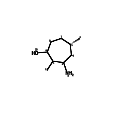 CC1C(N)C[C@@H](C)CCC1O